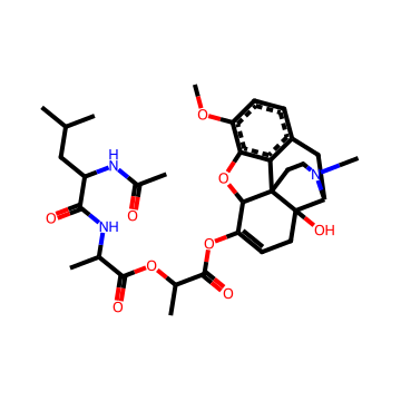 COc1ccc2c3c1OC1C(OC(=O)C(C)OC(=O)C(C)NC(=O)C(CC(C)C)NC(C)=O)=CCC4(O)C(C2)N(C)CCC314